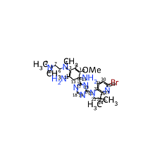 COC1=CC(N(C)CCN(C)C)=C(N)CC1(N)c1ncnc(N2CC(C)(C)c3nc(Br)ccc32)n1